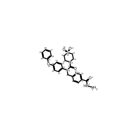 NNC(=O)c1ccc(CN(C(=O)N2CCS(=O)(=O)CC2)c2ccc(Oc3ccccc3)cc2)nc1